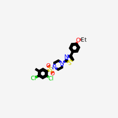 CCOc1ccc(-c2csc(N3CCN(S(=O)(=O)c4cc(C)c(Cl)cc4Cl)CC3)n2)cc1